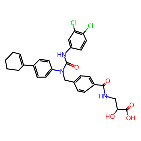 O=C(NCC(O)C(=O)O)c1ccc(CN(C(=O)Nc2ccc(Cl)c(Cl)c2)c2ccc(C3=CCCCC3)cc2)cc1